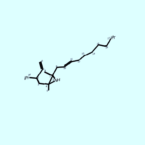 C=CC(CC1(C)NC1(C)C/C=C/CCCCCC(C)C)C(C)C